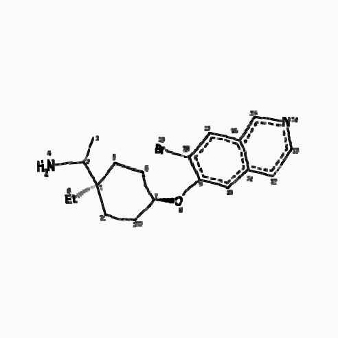 CC[C@]1(C(C)N)CC[C@@H](Oc2cc3ccncc3cc2Br)CC1